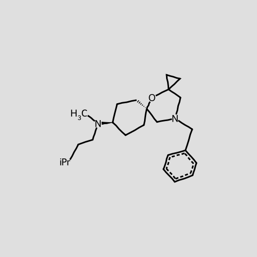 CC(C)CCN(C)[C@H]1CC[C@@]2(CC1)CN(Cc1ccccc1)CC1(CC1)O2